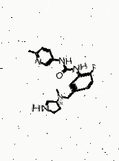 Cc1ccc(NC(=O)Nc2cc(CN(C)[C@H]3CCNC3)ccc2F)cn1